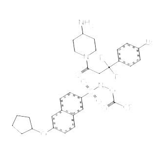 NC1CCN(C(=O)[C@@H](N(OC(=O)C(F)(F)F)S(=O)(=O)c2ccc3cc(OC4CCCC4)ccc3c2)C(F)(F)c2ccc(Br)cc2)CC1